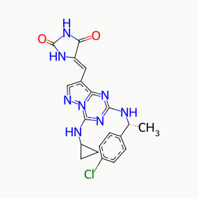 C[C@@H](Nc1nc(NC2CC2)n2ncc(/C=C3\NC(=O)NC3=O)c2n1)c1ccc(Cl)cc1